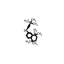 CC1(C)CCC(C)(C)c2cc([Se]C#C[Si](C)(C)C)ccc21